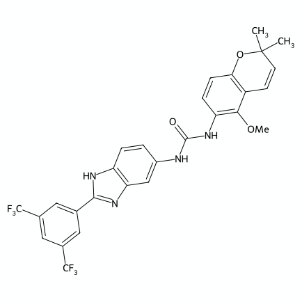 COc1c(NC(=O)Nc2ccc3[nH]c(-c4cc(C(F)(F)F)cc(C(F)(F)F)c4)nc3c2)ccc2c1C=CC(C)(C)O2